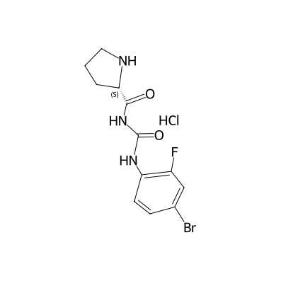 Cl.O=C(NC(=O)[C@@H]1CCCN1)Nc1ccc(Br)cc1F